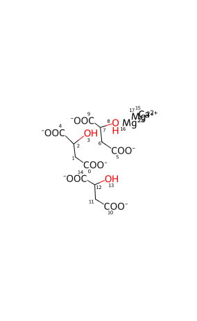 O=C([O-])CC(O)C(=O)[O-].O=C([O-])CC(O)C(=O)[O-].O=C([O-])CC(O)C(=O)[O-].[Ca+2].[Mg+2].[Mg+2]